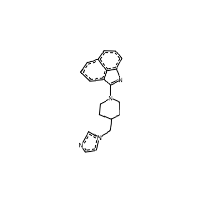 c1cc2c3c(cccc3c1)C(N1CCC(Cn3ccnc3)CC1)=N2